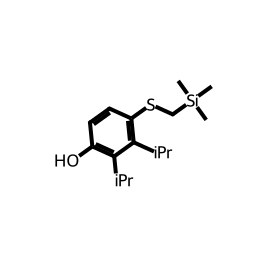 CC(C)c1c(O)ccc(SC[Si](C)(C)C)c1C(C)C